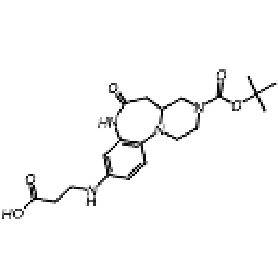 CC(C)(C)OC(=O)N1CCN2c3ccc(NCCC(=O)O)cc3NC(=O)CC2C1